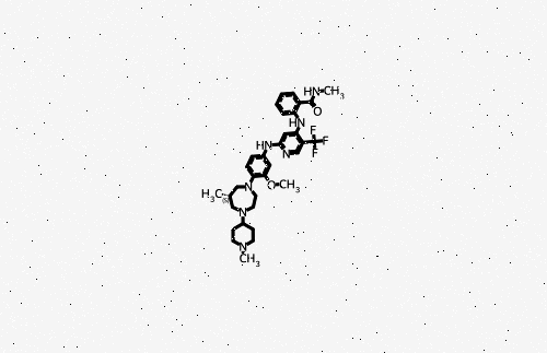 CNC(=O)c1ccccc1Nc1cc(Nc2ccc(N3CCN(C4CCN(C)CC4)C[C@H](C)C3)c(OC)c2)ncc1C(F)(F)F